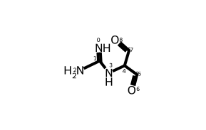 N=C(N)NC([C]=O)[C]=O